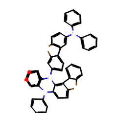 c1ccc(N(c2ccccc2)c2ccc3sc4cc(N(c5ccccc5)c5c(N(c6ccccc6)c6ccccc6)ccc6sc7ccccc7c56)ccc4c3c2)cc1